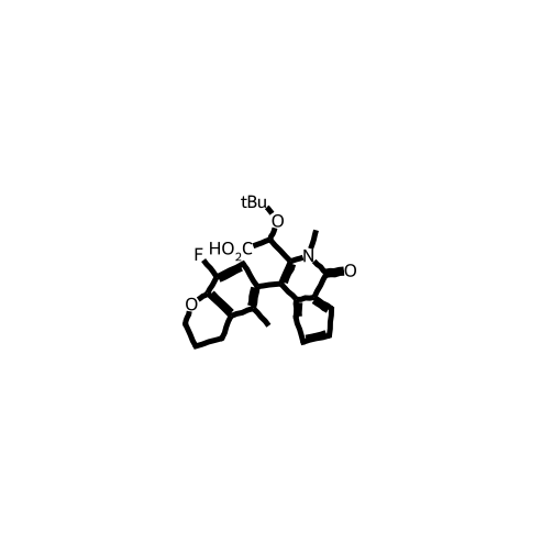 Cc1c(-c2c(C(OC(C)(C)C)C(=O)O)n(C)c(=O)c3ccccc23)cc(F)c2c1CCCO2